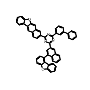 c1ccc(-c2cccc(-c3nc(-c4ccc5cc6c(cc5c4)oc4ccccc46)nc(-c4cc(-c5cccc6oc7ccccc7c56)c5ccccc5c4)n3)c2)cc1